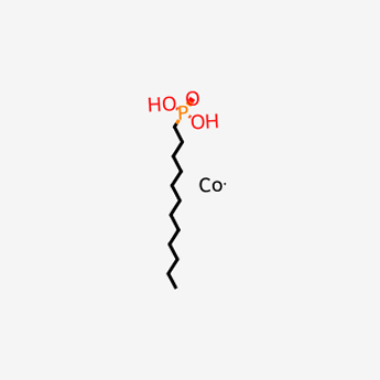 CCCCCCCCCCCCP(=O)(O)O.[Co]